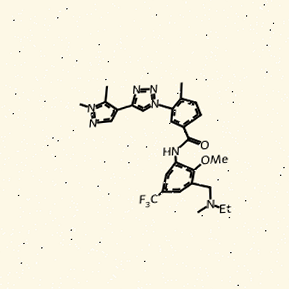 CCN(C)Cc1cc(C(F)(F)F)cc(NC(=O)c2ccc(C)c(-n3cc(-c4cnn(C)c4C)nn3)c2)c1OC